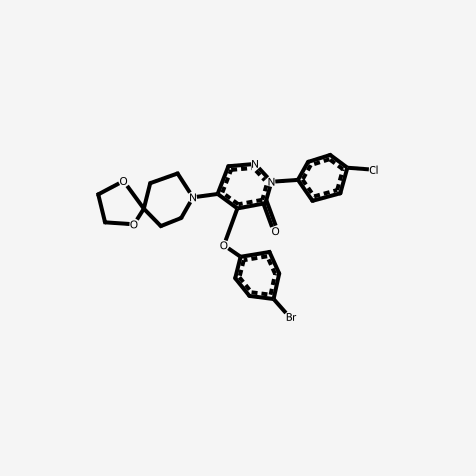 O=c1c(Oc2ccc(Br)cc2)c(N2CCC3(CC2)OCCO3)cnn1-c1ccc(Cl)cc1